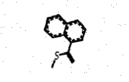 C=C(SC)c1cccc2ccccc12